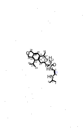 CC(C)N/C=C\NS(N)(=O)=NC(=O)Cc1c(C(C)C)cc2c(c1C(C)C)COC2